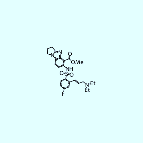 CCN(CC)CC=Cc1cc(F)ccc1S(=O)(=O)Nc1ccc2c(nc3n2CCC3)c1C(=O)OC